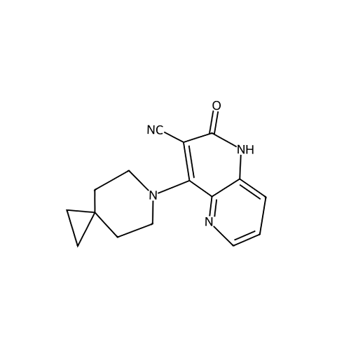 N#Cc1c(N2CCC3(CC2)CC3)c2ncccc2[nH]c1=O